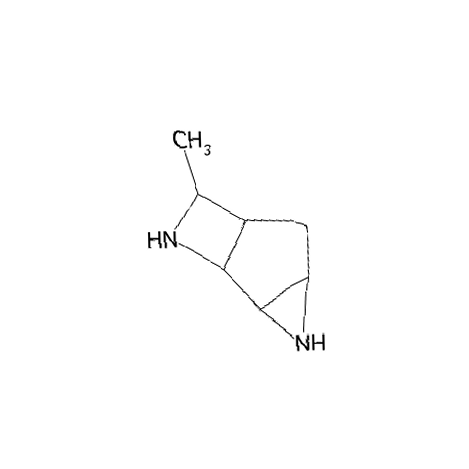 CC1NC2C1CC1NC12